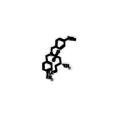 C=CC[C@@H](C)CS(=O)(=O)N(Cc1ccc(C)cc1)Cc1ccc(OC)cc1